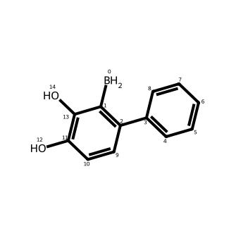 Bc1c(-c2ccccc2)ccc(O)c1O